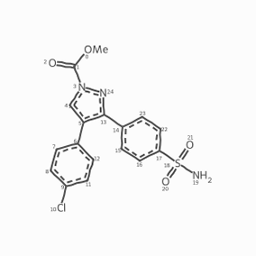 COC(=O)n1[c]c(-c2ccc(Cl)cc2)c(-c2ccc(S(N)(=O)=O)cc2)n1